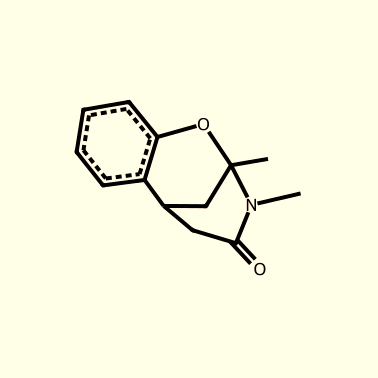 CN1C(=O)CC2CC1(C)Oc1ccccc12